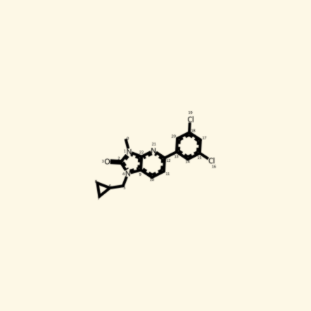 Cn1c(=O)n(CC2CC2)c2ccc(-c3cc(Cl)cc(Cl)c3)nc21